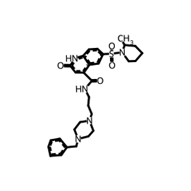 CC1CCCCN1S(=O)(=O)c1ccc2[nH]c(=O)cc(C(=O)NCCCN3CCN(Cc4ccccc4)CC3)c2c1